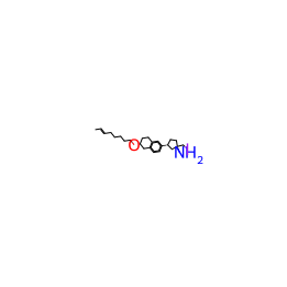 C/C=C/CCCCCO[C@@H]1CCc2cc([C@H]3CC[C@](N)(CI)C3)ccc2C1